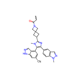 C=CC(=O)N1CC2(CC(c3nc(-c4ccc5c(cnn5C)c4)c(-c4cc(C#N)cc5[nH]ncc45)n3C)C2)C1